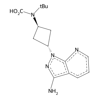 CC(C)(C)N(C(=O)O)[C@H]1C[C@H](n2nc(N)c3cccnc32)C1